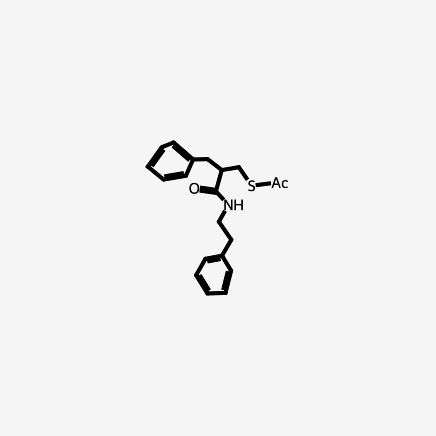 CC(=O)SCC(Cc1ccccc1)C(=O)NCCc1ccccc1